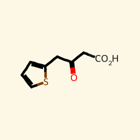 O=C(O)CC(=O)Cc1cccs1